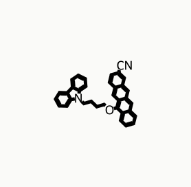 N#Cc1ccc2cc3c(OCCCCn4c5ccccc5c5ccccc54)c4ccccc4cc3cc2c1